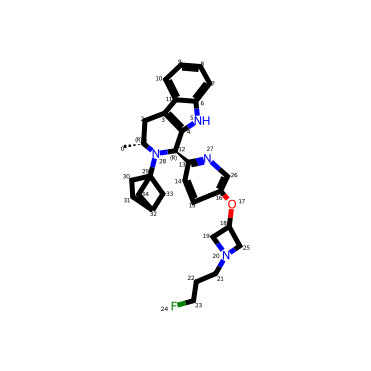 C[C@@H]1Cc2c([nH]c3ccccc23)[C@@H](c2ccc(OC3CN(CCCF)C3)cn2)N1C12CCC(C1)C2